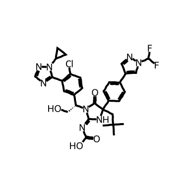 CC(C)(C)CC1(c2ccc(-c3cnn(C(F)F)c3)cc2)NC(=NC(=O)O)N([C@H](CO)c2ccc(Cl)c(-c3ncnn3C3CC3)c2)C1=O